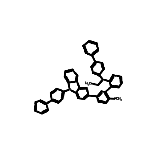 CCC(c1ccc(-c2ccccc2)cc1)c1ccccc1-c1cc(-c2ccc3c(c2)c2ccccc2n3-c2ccc(-c3ccccc3)cc2)ccc1C